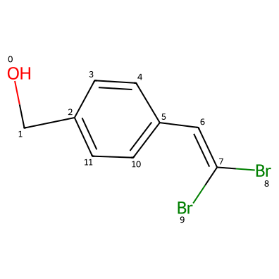 OCc1ccc(C=C(Br)Br)cc1